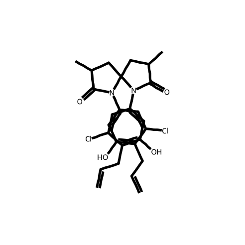 C=CCc1c(O)cc(N2C(=O)C(C)CC23CC(C)C(=O)N3c2cc(O)c(CC=C)c(Cl)c2)cc1Cl